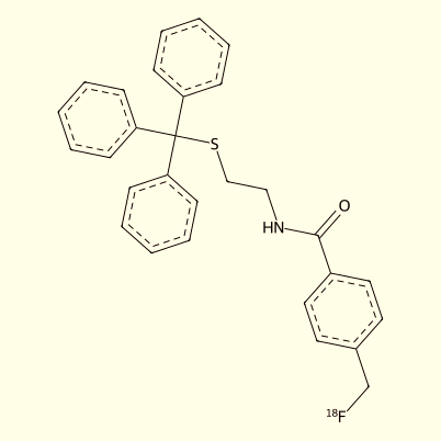 O=C(NCCSC(c1ccccc1)(c1ccccc1)c1ccccc1)c1ccc(C[18F])cc1